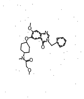 COCC(=O)N(C)[C@H]1CC[C@@H](Oc2cc3c(=O)n(Cc4ccccc4)cnc3cc2OC)CC1